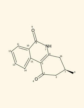 C[C@H]1CC(=O)c2c([nH]c(=O)c3ccccc23)C1